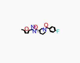 Cc1ccc(-c2noc([C@H]3CCCN(C(=O)c4ccc(F)cc4)C3)n2)o1